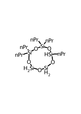 CCC[SiH]1O[SiH2]O[SiH2]O[Si](CCC)(CCC)O[Si](CCC)(CCC)O1